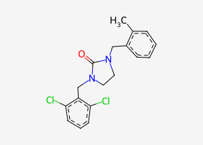 Cc1ccccc1CN1CCN(Cc2c(Cl)cccc2Cl)C1=O